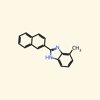 Cc1cccc2[nH]c(-c3ccc4ccccc4c3)nc12